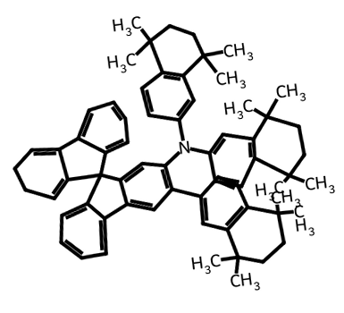 CC1(C)CCC(C)(C)c2cc(-c3cc4c(cc3N(c3ccc5c(c3)C(C)(C)CCC5(C)C)c3ccc5c(c3)C(C)(C)CCC5(C)C)C3(C5=CCCC=C5c5ccccc53)c3ccccc3-4)ccc21